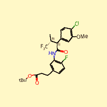 COc1cc([C@@H](C(=O)Nc2cc(CCC(=O)OC(C)(C)C)ccc2F)[C@@H](C)C(F)(F)F)ccc1Cl